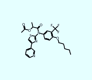 CCCCCOc1ccc(N(C(=O)C(C)OC(C)=O)c2nc(-c3cccnc3)cs2)cc1C(F)(F)F